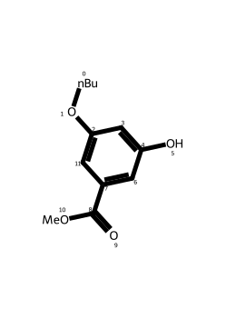 CCCCOc1cc(O)cc(C(=O)OC)c1